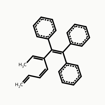 C=C/C=C\C(=C/C)C(=C(c1ccccc1)c1ccccc1)c1ccccc1